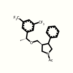 CC(=O)N1CC(c2ccccc2)[C@H](CO[C@H](C)c2cc(C(F)(F)F)cc(C(F)(F)F)c2)C1